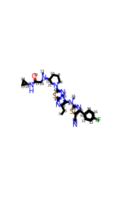 CCc1nc2sc(N3CCCC(N(C)CC(=O)NC4CC4)C3)nn2c1N(C)c1nc(-c2ccc(F)cc2)c(C#N)s1